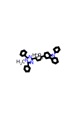 C=N/C(=N\C(=N/Cc1ccccc1)C(=C)/C=C\C(=C)c1ccc2c(c1)c1ccccc1n2-c1ccccc1)c1ccccc1